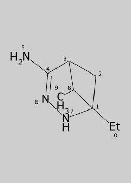 CCC12CC(C(N)=NN1)C2C